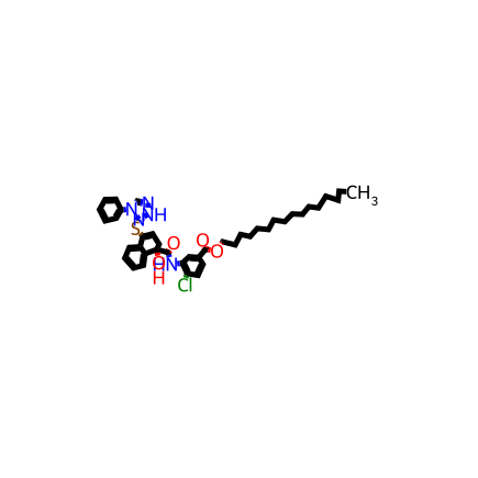 CCCCCCCCCCCCCCCCOC(=O)c1ccc(Cl)c(NC(=O)C2(O)CC=C(SN3NN=CN3c3ccccc3)c3ccccc32)c1